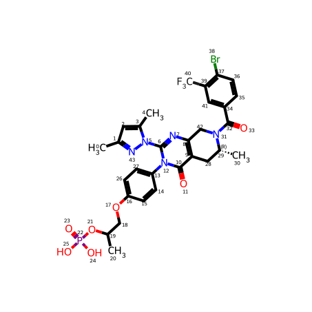 Cc1cc(C)n(-c2nc3c(c(=O)n2-c2ccc(OCC(C)OP(=O)(O)O)cc2)C[C@@H](C)N(C(=O)c2ccc(Br)c(C(F)(F)F)c2)C3)n1